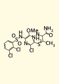 COc1nc(SC(C)C(N)C(N)=O)c(Cl)nc1NS(=O)(=O)c1cccc(Cl)c1Cl